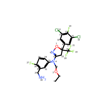 CCOCN(C1=NOC(c2cc(Cl)c(F)c(Cl)c2)(C(F)(F)F)C1)c1ccc(F)c(CN)c1